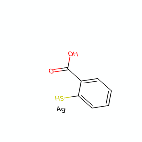 O=C(O)c1ccccc1S.[Ag]